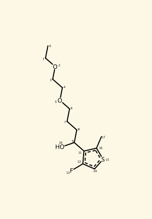 CCOCCOCCCC(O)c1c(F)csc1C